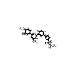 CC(C)(C)NS(=O)(=O)c1ccc(-c2cccc(-c3nc(-c4ccc(C(F)(F)F)c(F)c4)cc(C(F)(F)F)n3)c2)s1